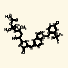 CC(CC(=N)C1=NC(=O)C(=Cc2ccc3c(cnn3Cc3ccc(Cl)cc3C(F)(F)F)c2)S1)CC(C)(C)OC(N)=O